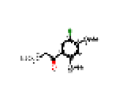 CCOC(=O)CC(=O)c1cc(Br)c(OC)cc1OC